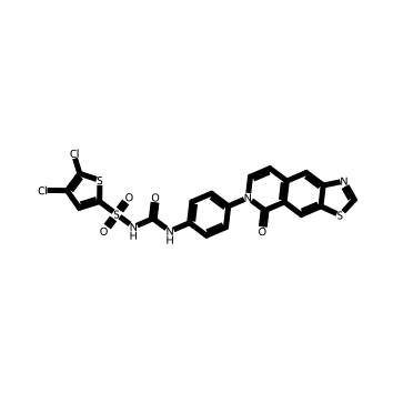 O=C(Nc1ccc(-n2ccc3cc4ncsc4cc3c2=O)cc1)NS(=O)(=O)c1cc(Cl)c(Cl)s1